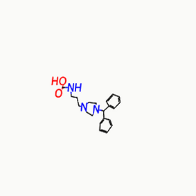 O=C(O)NCCCN1CCN(C(c2ccccc2)c2ccccc2)CC1